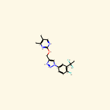 Cc1cnc(OCc2cn(-c3ccc(F)c(C(C)(F)F)c3)nn2)nc1C